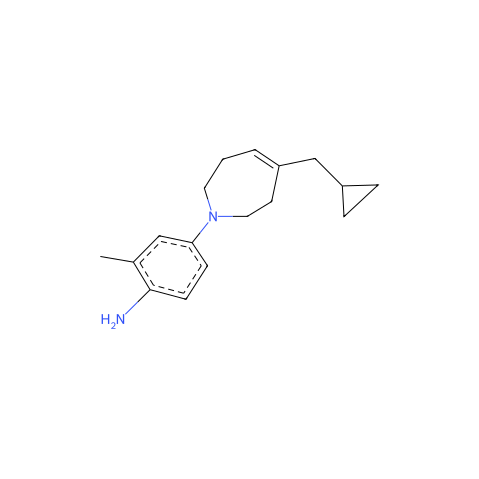 Cc1cc(N2CCC=C(CC3CC3)CC2)ccc1N